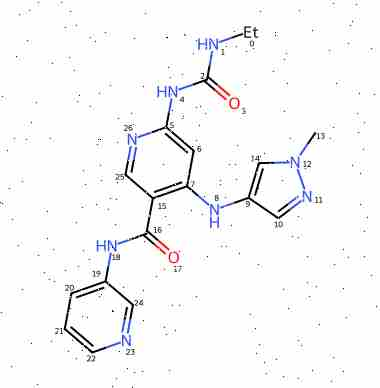 CCNC(=O)Nc1cc(Nc2cnn(C)c2)c(C(=O)Nc2cccnc2)cn1